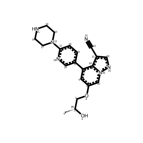 C[C@@H](O)COc1cc(-c2ccc(N3CCNCC3)nc2)c2c(C#N)cnn2c1